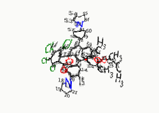 CCCOc1ccc(C(=CC2(C=C(c3ccc(N4CCCC4)cc3)c3ccc(OCCC)c(C)c3)OC(=O)c3c(Cl)c(Cl)c(Cl)c(Cl)c32)c2ccc(N3CCCC3)cc2)cc1C